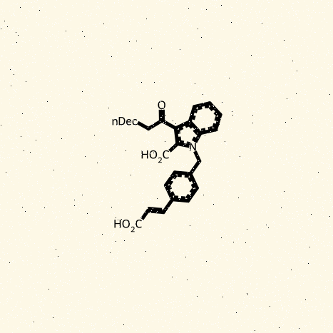 CCCCCCCCCCCC(=O)c1c(C(=O)O)n(Cc2ccc(C=CC(=O)O)cc2)c2ccccc12